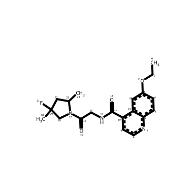 CCOc1ccc2nccc(C(=O)NCC(=O)N3CC(C)(F)CC3C)c2c1